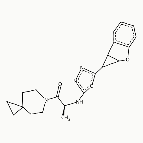 C[C@H](Nc1nnc(C2C3Oc4ccccc4C32)o1)C(=O)N1CCC2(CC1)CC2